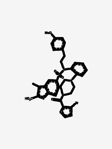 COc1ccc(CCN(c2ccccc2N2CCN(C(=O)c3sccc3Br)CC2)S(=O)(=O)c2ccc3sc(C(=O)O)c(C)c3c2)cc1